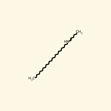 CCCCC=CNCCCCCCCCCCCCCCCCCCCCCC